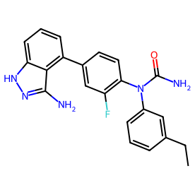 CCc1cccc(N(C(N)=O)c2ccc(-c3cccc4[nH]nc(N)c34)cc2F)c1